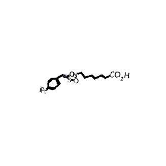 CC(C)c1ccc(/C=C2/ON(CCCCCCC(=O)O)OS2)cc1